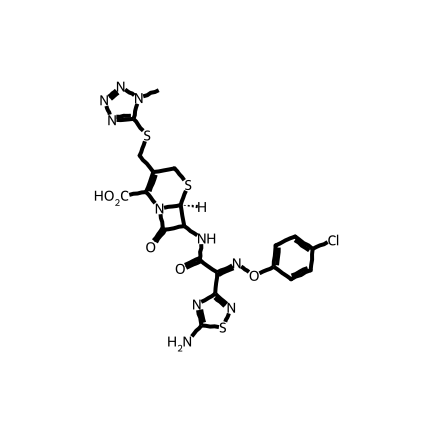 Cn1nnnc1SCC1=C(C(=O)O)N2C(=O)C(NC(=O)C(=NOc3ccc(Cl)cc3)c3nsc(N)n3)[C@@H]2SC1